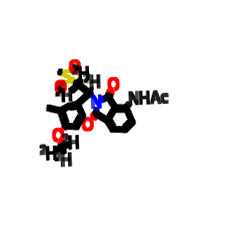 [2H]C([2H])([2H])Oc1ccc([C@]([2H])(N2C(=O)c3cccc(NC(C)=O)c3C2=O)C([2H])([2H])S(C)(=O)=O)cc1C